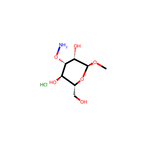 CO[C@H]1O[C@H](CO)[C@@H](O)[C@H](ON)[C@@H]1O.Cl